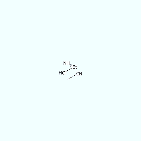 CC#N.CCO.N